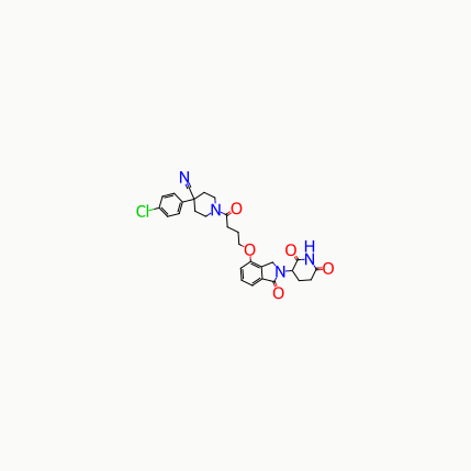 N#CC1(c2ccc(Cl)cc2)CCN(C(=O)CCCOc2cccc3c2CN(C2CCC(=O)NC2=O)C3=O)CC1